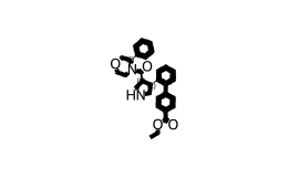 CCOC(=O)c1ccc(-c2ccccc2[C@@H]2CNC[C@H]2C(=O)N2CCOC[C@@H]2c2ccccc2)cc1